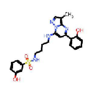 Cc1cnn2c(NCCCCNS(=O)(=O)c3cccc(O)c3)cc(-c3ccccc3O)nc12